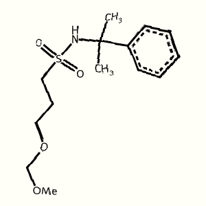 COCOCCCS(=O)(=O)NC(C)(C)c1ccccc1